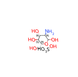 N[C@H]1C(O)O[C@H](CO)[C@@H](O)[C@@H]1O.O=S(=O)(O)O